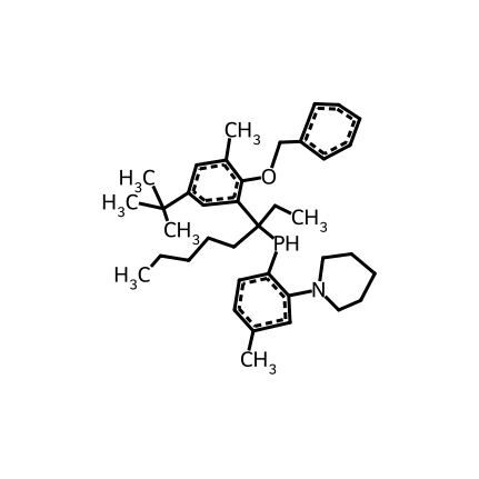 CCCCCC(CC)(Pc1ccc(C)cc1N1CCCCC1)c1cc(C(C)(C)C)cc(C)c1OCc1ccccc1